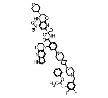 CC(C)Oc1ccccc1[C@@H]1CN(Cc2ccc(F)c(F)c2)CCN1C1CC2(CCN(c3ccc(C(=O)NS(=O)(=O)c4cc([N+](=O)[O-])c5c(n4)OC[C@@H](C4CCOCC4)N5)c(N4CCOc5nc6[nH]ccc6cc54)c3)CC2)C1